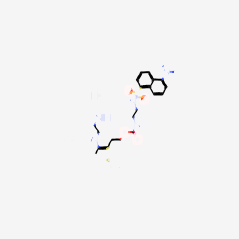 CC(=C(CCOC(=O)NCCNS(=O)(=O)c1cccc2c(N(C)C)cccc12)SSC(C)C)N(C=O)CCN.Cl